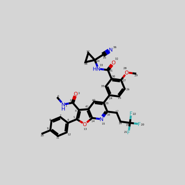 CNC(=O)c1c(-c2ccc(C)cc2)oc2nc(CCC(F)(F)F)c(-c3ccc(OC)c(C(=O)NC4(C#N)CC4)c3)cc12